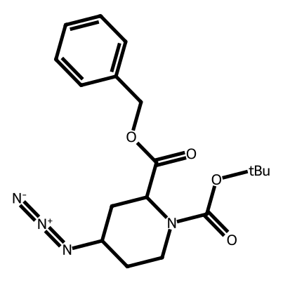 CC(C)(C)OC(=O)N1CCC(N=[N+]=[N-])CC1C(=O)OCc1ccccc1